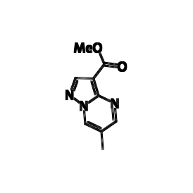 COC(=O)c1cnn2cc(C)cnc12